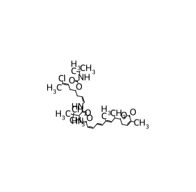 CC1=CCC(C(C)/C=C(C)/C=C/C=C\C(=O)NC(C(=O)N/C=C\CC(C/C=C(\C)Cl)OC(=O)NC(C)C)C(C)(C)C)OC1=O